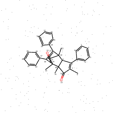 CC1=C(c2ccccc2)C2C3(C)C(=O)C(C)(C(c4ccccc4)=C3c3ccccc3)C2(C)C1=O